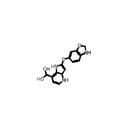 OC(O)C1=C2NC(Oc3ccc4c(c3)OCN4)=CC2NC=C1